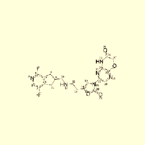 Cc1ncc(F)c2c1CC(CNCCc1cn(-c3cnc4c(n3)NC(=O)CO4)c(=O)o1)C2